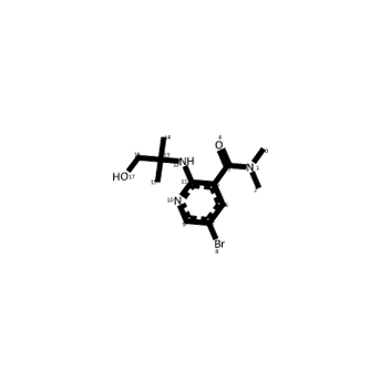 CN(C)C(=O)c1cc(Br)cnc1NC(C)(C)CO